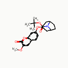 COc1cc2ccc(OC3CC4CCC(C3)N4C(=O)OC(C)(C)C)cc2oc1=O